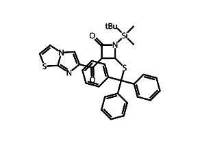 CC(C)(C)[Si](C)(C)N1C(=O)C(C(=O)c2cn3ccsc3n2)C1SC(c1ccccc1)(c1ccccc1)c1ccccc1